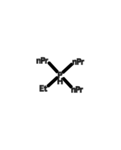 CCC[PH](CC)(CCC)CCC